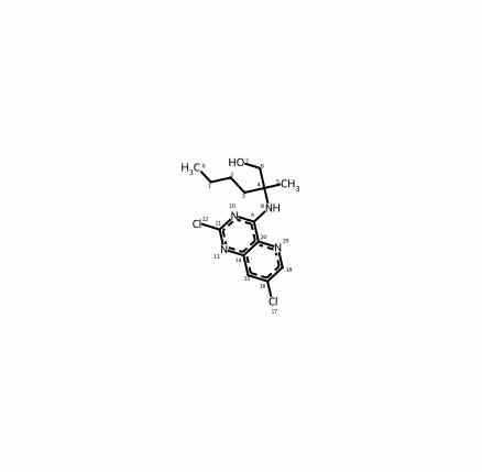 CCCCC(C)(CO)Nc1nc(Cl)nc2cc(Cl)cnc12